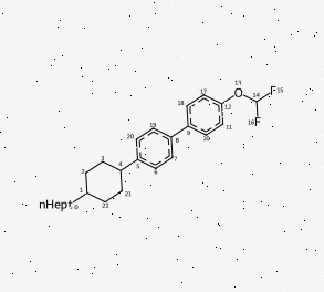 CCCCCCCC1CCC(c2ccc(-c3ccc(OC(F)F)cc3)cc2)CC1